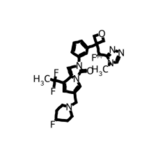 Cn1cnnc1[C@H](F)C1(c2cccc(-n3cc4c(C(C)(F)F)cc(CN5CCC(F)CC5)cn4c3=O)c2)COC1